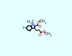 COC(=O)CCc1c(C(=O)OC)n(C)c2cc(F)ccc12